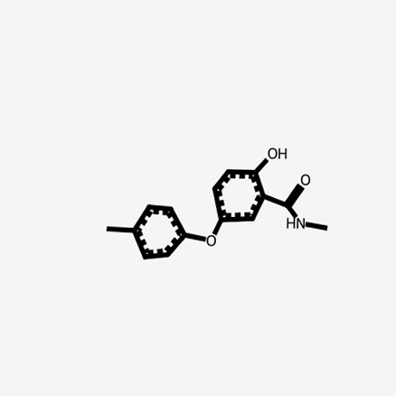 CNC(=O)c1cc(Oc2ccc(C)cc2)ccc1O